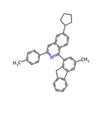 Cc1ccc(-c2cc3cc(C4CCCC4)ccc3c(-c3cc(C)cc4c3Cc3ccccc3-4)n2)cc1